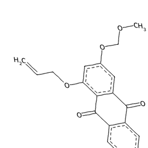 C=CCOc1cc(OCOC)cc2c1C(=O)c1ccccc1C2=O